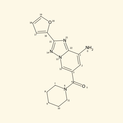 Nc1cc(C(=O)N2CCCCC2)cn2nc(-c3ccco3)nc12